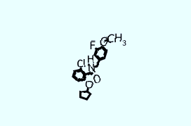 COc1ccc(CNC(=O)c2c(Cl)cccc2OC2CCCC2)cc1F